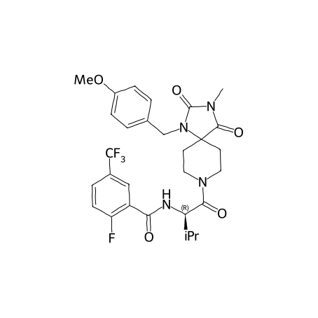 COc1ccc(CN2C(=O)N(C)C(=O)C23CCN(C(=O)[C@H](NC(=O)c2cc(C(F)(F)F)ccc2F)C(C)C)CC3)cc1